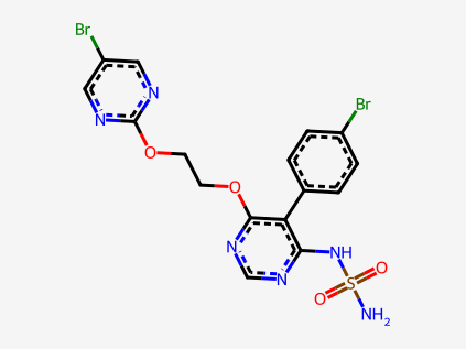 NS(=O)(=O)Nc1ncnc(OCCOc2ncc(Br)cn2)c1-c1ccc(Br)cc1